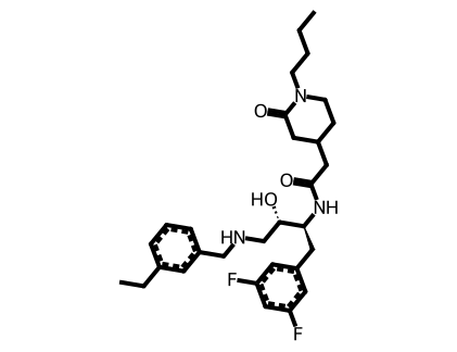 CCCCN1CCC(CC(=O)N[C@@H](Cc2cc(F)cc(F)c2)[C@@H](O)CNCc2cccc(CC)c2)CC1=O